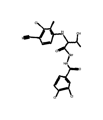 Cc1c(NC(C(=O)NNC(=O)c2ccc(Cl)c(Cl)c2)C(C)O)ccc(C#N)c1Cl